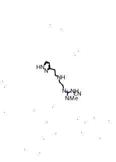 CN/C(=N/CCNCCc1cc[nH]n1)NC#N